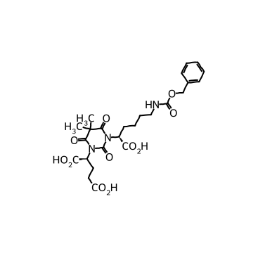 CC1(C)C(=O)N([C@@H](CCCCNC(=O)OCc2ccccc2)C(=O)O)C(=O)N([C@@H](CCC(=O)O)C(=O)O)C1=O